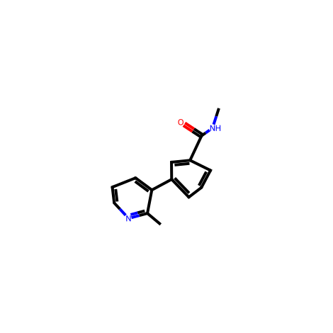 CNC(=O)c1cccc(-c2cccnc2C)c1